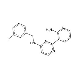 Cc1cccc(CNc2ccnc(-c3cccnc3N)n2)c1